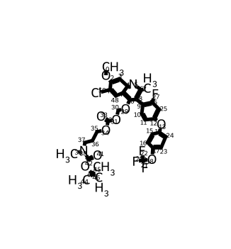 COc1cc2nc(C)c(-c3ccc(Oc4ccc(OC(F)(F)F)cc4)cc3F)c(OCOC(=O)OCCCN(C)C(=O)OC(C)(C)C)c2cc1Cl